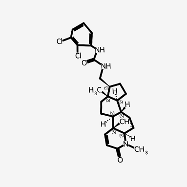 CN1C(=O)C=C[C@]2(C)[C@H]3CC[C@]4(C)[C@@H](CNC(=O)Nc5cccc(Cl)c5Cl)CC[C@H]4[C@@H]3CC[C@@H]12